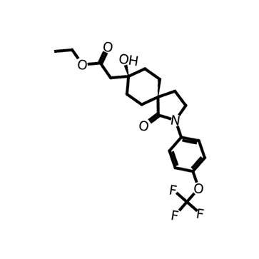 CCOC(=O)C[C@]1(O)CC[C@]2(CCN(c3ccc(OC(F)(F)F)cc3)C2=O)CC1